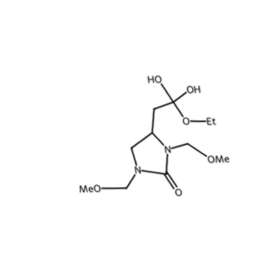 CCOC(O)(O)CC1CN(COC)C(=O)N1COC